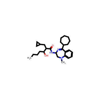 CCCCC(O)C(CC1CC1)C(=O)NC1CN(C)c2ccccc2C(C2CCCCCC2)=N1